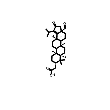 CC(C)C1=C2[C@H]3CCC4[C@@]5(C)CC[C@H](CC(=O)O)C(C)(C)[C@@H]5CC[C@@]4(C)[C@]3(C)CC[C@@]2(C=O)CC1=O